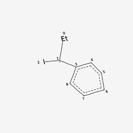 CC[C](I)c1ccccc1